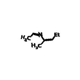 C/C=N\C(C)=C/CC